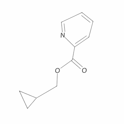 O=C(OCC1CC1)c1ccccn1